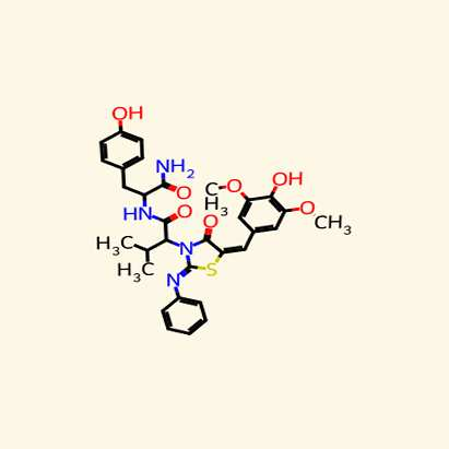 COc1cc(C=C2SC(=Nc3ccccc3)N(C(C(=O)NC(Cc3ccc(O)cc3)C(N)=O)C(C)C)C2=O)cc(OC)c1O